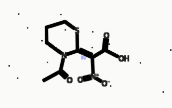 CC(=O)N1CCCS/C1=C(\C(=O)O)[N+](=O)[O-]